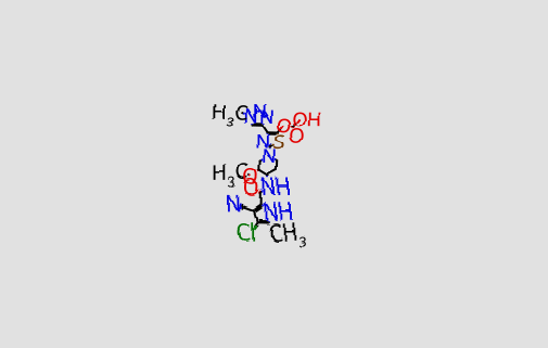 CO[C@H]1CN(c2nc(-c3cn(C)nn3)c(OC(=O)O)s2)CC[C@H]1NC(=O)c1[nH]c(C)c(Cl)c1C#N